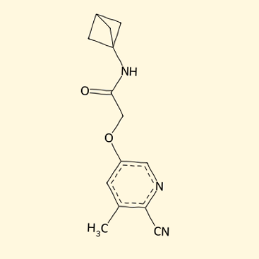 Cc1cc(OCC(=O)NC23CC(C2)C3)cnc1C#N